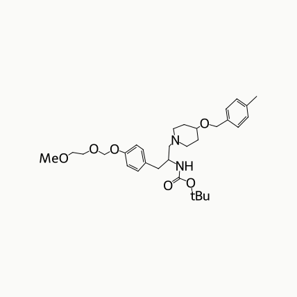 COCCOCOc1ccc(CC(CN2CCC(OCc3ccc(C)cc3)CC2)NC(=O)OC(C)(C)C)cc1